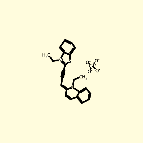 CCN1C(=CC#Cc2sc3ccccc3[n+]2CC)C=Cc2ccccc21.[O-][Cl+3]([O-])([O-])[O-]